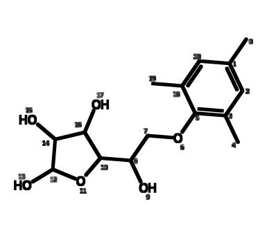 Cc1cc(C)c(OCC(O)C2OC(O)C(O)C2O)c(C)c1